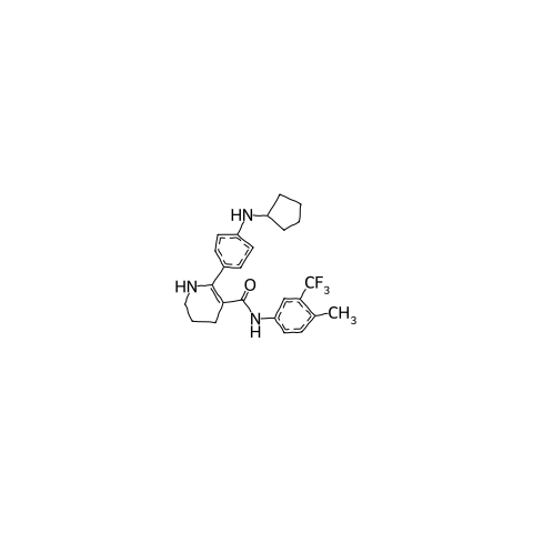 Cc1ccc(NC(=O)C2=C(c3ccc(NC4CCCC4)cc3)NCCC2)cc1C(F)(F)F